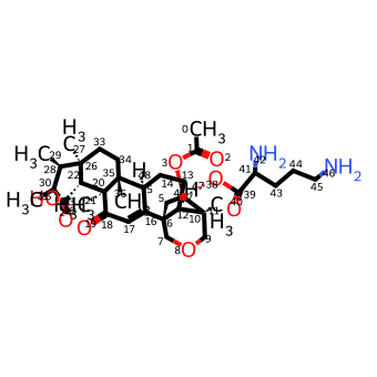 CC(=O)O[C@@H]1C[C@]23COC[C@@](C)([C@@H]2CC[C@H]2C3=CC(=O)[C@@]3(C)[C@H](C(=O)O)[C@@](C)([C@H](C)C(C)C)CC[C@]23C)[C@H]1OC(=O)C(N)CCCN